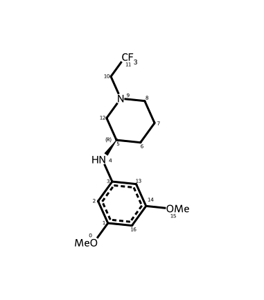 COc1cc(N[C@@H]2CCCN(CC(F)(F)F)C2)cc(OC)c1